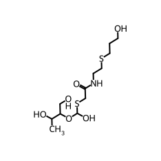 CC(O)C(CO)OC(O)SCC(=O)NCCSCCCO